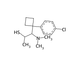 CC(S)C(N(C)C)C1(c2ccc(Cl)cc2)CCC1